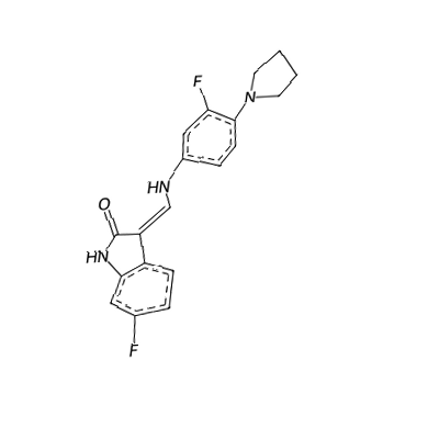 O=C1Nc2cc(F)ccc2C1=CNc1ccc(N2CCCC2)c(F)c1